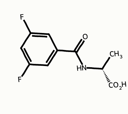 C[C@@H](NC(=O)c1cc(F)cc(F)c1)C(=O)O